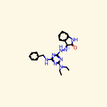 CCN(CC)c1nc(NCc2ccccc2)nc(N/N=C2/C(=O)Nc3ccccc32)n1